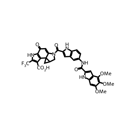 COc1cc2[nH]c(C(=O)Nc3ccc4[nH]c(C(=O)N5CC6CC67C5=CC(=O)c5[nH]c(C(F)(F)F)c(C(=O)O)c57)cc4c3)cc2c(OC)c1OC